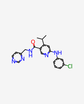 CC(C)c1cc(Nc2cccc(Cl)c2)ncc1C(=O)NCc1ccncn1